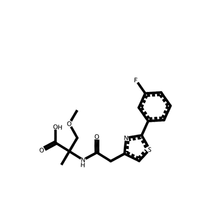 COCC(C)(NC(=O)Cc1csc(-c2cccc(F)c2)n1)C(=O)O